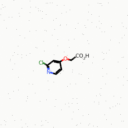 O=C(O)COc1ccnc(Cl)c1